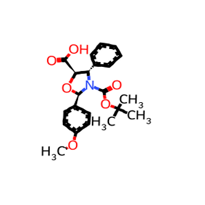 COc1ccc([C@H]2O[C@@H](C(=O)O)[C@H](c3ccccc3)N2C(=O)OC(C)(C)C)cc1